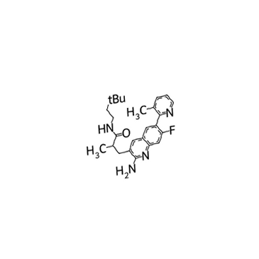 Cc1cccnc1-c1cc2cc(CC(C)C(=O)NCCC(C)(C)C)c(N)nc2cc1F